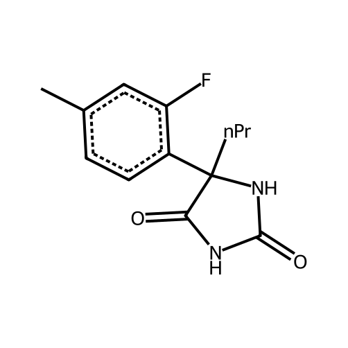 CCCC1(c2ccc(C)cc2F)NC(=O)NC1=O